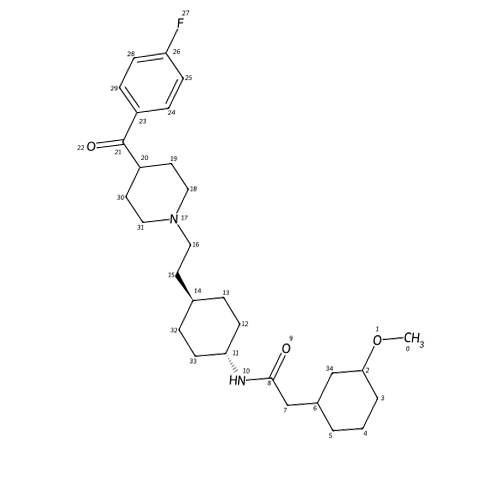 COC1CCCC(CC(=O)N[C@H]2CC[C@H](CCN3CCC(C(=O)c4ccc(F)cc4)CC3)CC2)C1